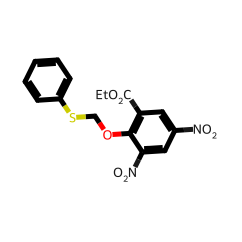 CCOC(=O)c1cc([N+](=O)[O-])cc([N+](=O)[O-])c1OCSc1ccccc1